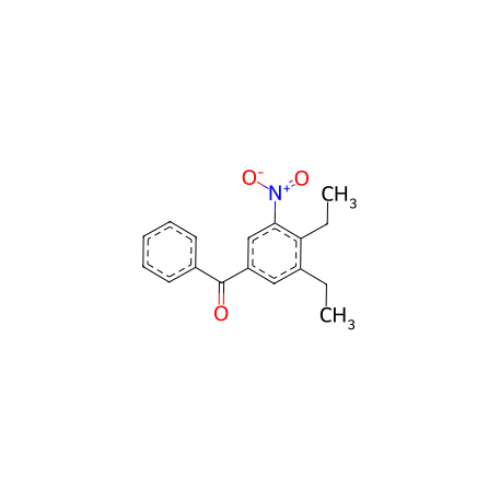 CCc1cc(C(=O)c2ccccc2)cc([N+](=O)[O-])c1CC